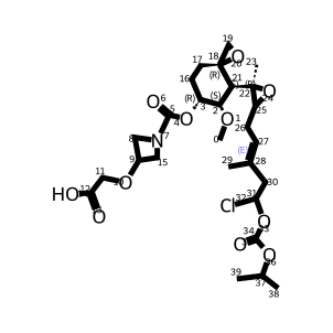 CO[C@@H]1[C@H](OC(=O)N2CC(OCC(=O)O)C2)CC[C@]2(CO2)[C@H]1[C@@]1(C)OC1C/C=C(\C)CC(Cl)OC(=O)OC(C)C